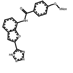 CCCCCCCCCOc1ccc(C(=O)Nc2cccc3cc(-c4nnn[nH]4)oc23)cc1